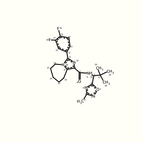 Cc1noc([C@@H](NC(=O)c2nc(-c3ccc(F)c(F)c3)n3c2CCCCC3)C(C)(C)C)n1